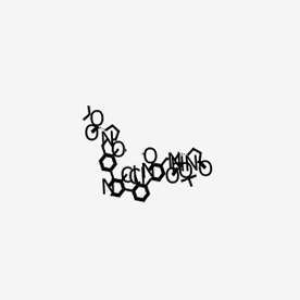 COc1cc(-c2nccc(-c3cccc(-c4ccc(CN(C[C@@H]5CCC(=O)N5)C(=O)OC(C)(C)C)c(OC)n4)c3Cl)c2Cl)ccc1CN1CCC[C@H]1C(=O)OC(C)C